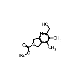 Cc1c(CO)nc2c(c1C)CN(C(=O)OC(C)(C)C)C2